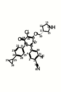 N#Cc1ccc(-c2nc(OC[C@@H]3CCNC3)c(Cl)c(=O)n2-c2ccc(C3CC3)cc2)cc1F